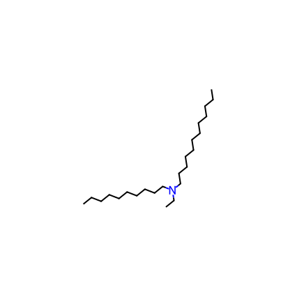 CCCCCCCCCCCCN(CC)CCCCCCCCCC